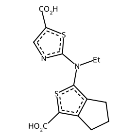 CCN(c1ncc(C(=O)O)s1)c1sc(C(=O)O)c2c1CCC2